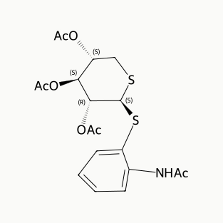 CC(=O)Nc1ccccc1S[C@@H]1SC[C@@H](OC(C)=O)[C@H](OC(C)=O)[C@H]1OC(C)=O